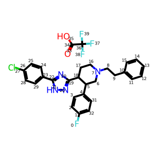 Fc1ccc(C2CN(CCc3ccccc3)CCC2c2n[nH]c(-c3ccc(Cl)cc3)n2)cc1.O=C(O)C(F)(F)F